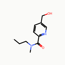 [CH2]CCN(C)C(=O)c1ccc(CO)cn1